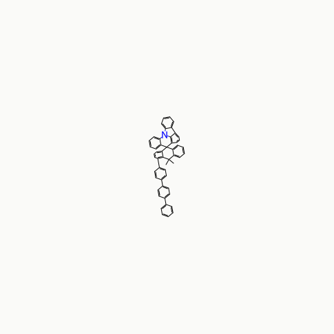 CC1(C)c2ccccc2C2(c3ccccc3-n3c4ccccc4c4cccc2c43)c2cccc(-c3ccc(-c4ccc(-c5ccccc5)cc4)cc3)c21